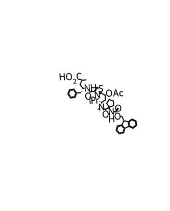 CC(=O)O[C@H](C[C@@H](C(C)C)N(C)C(=O)C1(NC(=O)OCC2c3ccccc3-c3ccccc32)CCCC1)c1nc(C(=O)N[C@H](Cc2ccccc2)C[C@@H](C)C(=O)O)cs1